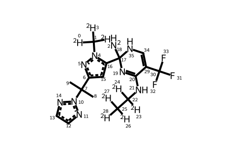 [2H]C([2H])([2H])n1nc(C(C)(C)n2nccn2)cc1C1(N)N=C(NC([2H])([2H])C([2H])([2H])[2H])C(C(F)(F)F)=CN1